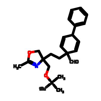 CC1=NC(CCC2(C=O)C=CC(c3ccccc3)C=C2)(CO[Si](C)(C)C(C)(C)C)CO1